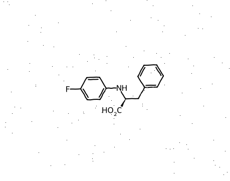 O=C(O)[C@H](Cc1ccccc1)Nc1ccc(F)cc1